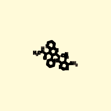 CNC(=O)c1c(-c2ccccc2)c([C@H](C)Nc2ncnc(N)c2C#N)nc2cccnc12